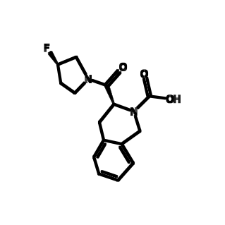 O=C([C@@H]1Cc2ccccc2CN1C(=O)O)N1CC[C@@H](F)C1